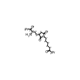 CC(C)C(=O)CCCCCN1C(=O)CC(SC[C@H](N)C(=O)C(C)C)C1=O